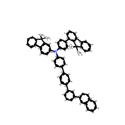 CC1(C)c2ccccc2-c2ccc(N(c3ccc(-c4ccc(-c5cccc(-c6ccc7ccccc7c6)c5)cc4)cc3)c3ccc(-c4cccc5c4C(C)(C)c4ccccc4-5)cc3)cc21